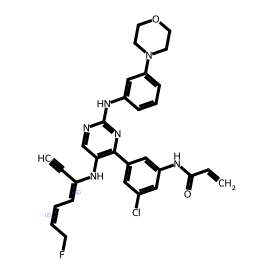 C#C/C(=C\C=C/CF)Nc1cnc(Nc2cccc(N3CCOCC3)c2)nc1-c1cc(Cl)cc(NC(=O)C=C)c1